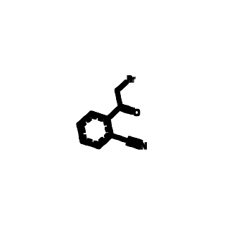 N#Cc1ccccc1C(=O)CBr